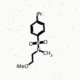 COCCN(C)S(=O)(=O)c1ccc(C(C)C)cc1